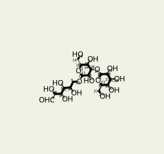 O=C[C@H](O)[C@@H](O)[C@H](O)[C@H](O)CO[C@H]1O[C@H](CO)[C@@H](O)[C@H](O[C@H]2O[C@H](CO)[C@@H](O)[C@H](O)[C@H]2O)[C@H]1O